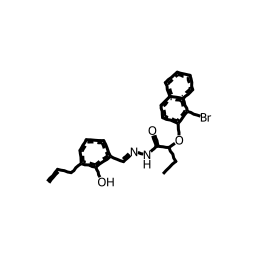 C=CCc1cccc(/C=N/NC(=O)C(CC)Oc2ccc3ccccc3c2Br)c1O